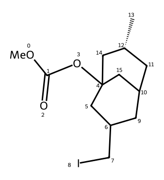 COC(=O)OC12CC(CI)CC(C[C@@H](C)C1)C2